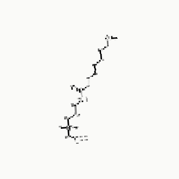 CCCCCCCCCCCCCCCCCC(=O)NCCC[N+](C)(C)CC(=O)[O-]